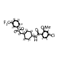 COc1cc(Cl)ccc1C(=O)NC1CCC(CS(=O)(=O)c2cccc(C(F)(F)F)c2)CC1